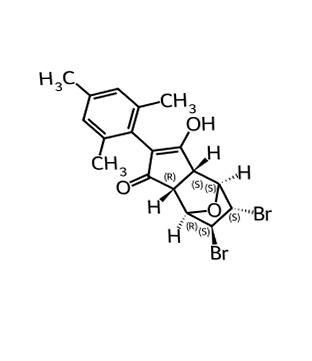 Cc1cc(C)c(C2=C(O)[C@@H]3[C@@H]4O[C@@H]([C@H](Br)[C@H]4Br)[C@@H]3C2=O)c(C)c1